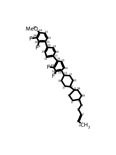 C/C=C/CCC1CCC(C2CCC(c3ccc(-c4ccc(-c5ccc(OC)c(F)c5F)cc4)c(F)c3F)CC2)CC1